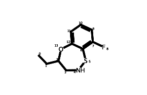 CCC1CNSc2c(F)cccc2O1